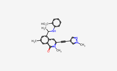 Cc1cc(C(C)Nc2ccccc2C(=O)O)c2cc(C#Cc3cnn(C)c3)n(C)c(=O)c2c1